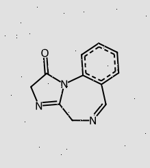 O=C1CN=C2CN=Cc3ccccc3N12